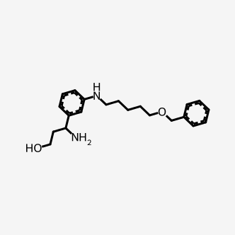 NC(CCO)c1cccc(NCCCCCOCc2ccccc2)c1